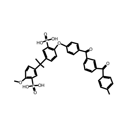 COc1ccc(C(C)(C)c2ccc(Oc3ccc(C(=O)c4cccc(C(=O)c5ccc(C)cc5)c4)cc3)c(P(=O)(O)O)c2)cc1P(=O)(O)O